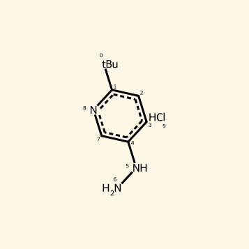 CC(C)(C)c1ccc(NN)cn1.Cl